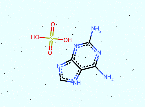 Nc1nc(N)c2[nH]cnc2n1.O=S(=O)(O)O